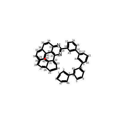 c1ccc(-c2cccc(-c3cccc(-c4cccc(-c5nc(-c6cccc7ccccc67)c6c(ccc7ccccc76)n5)c4)c3)c2)cc1